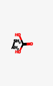 O=C(O)O.[AlH2][SiH3]